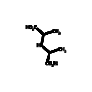 CCOC(=O)[C@H](C)NC(C)C(=O)O